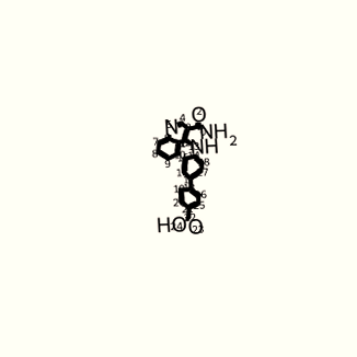 NC(=O)c1cnc2ccccc2c1Nc1ccc(-c2ccc(C(=O)O)cc2)cc1